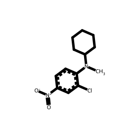 CN(c1ccc([N+](=O)[O-])cc1Cl)C1CCCCC1